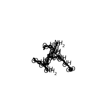 CCC(=O)OCc1ccc(NC(=O)C(CCCNC(N)=O)NC(=O)[C@@H](NC(=O)OCCN(CCOC(=O)N[C@H](C(=O)NC(CCCNC(N)=O)C(=O)Nc2ccc(COC(=O)C(C)CC)cc2)C(C)C)C(=O)OCCOCCNS(=O)(=O)NC(=O)OCCCNC(=O)CCCCCN2C(=O)C=CC2=O)C(C)C)cc1